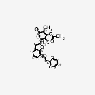 CC(=O)Oc1c(C)c(-c2cc3cccc(OCc4ccccc4)c3o2)oc(=O)c1C